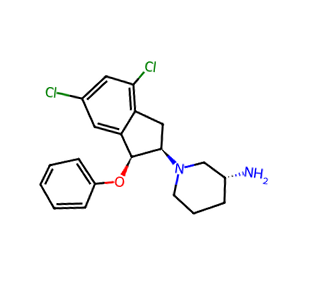 N[C@@H]1CCCN([C@@H]2Cc3c(Cl)cc(Cl)cc3[C@@H]2Oc2ccccc2)C1